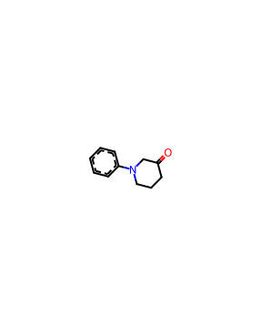 O=C1CCCN(c2ccccc2)C1